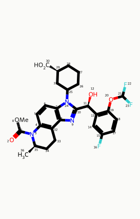 COC(=O)N1c2ccc3c(nc([C@@H](O)c4cc(F)ccc4OC(F)F)n3C3CCC[C@H](C(=O)O)C3)c2CC[C@H]1C